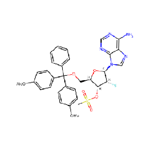 COc1ccc(C(OC[C@H]2O[C@@H](n3cnc4c(N)ncnc43)[C@H](F)[C@@H]2OS(C)(=O)=O)(c2ccccc2)c2ccc(OC)cc2)cc1